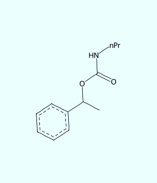 [CH2]CCNC(=O)OC(C)c1ccccc1